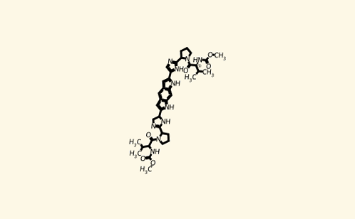 COC(=O)NC(C(=O)N1CCCC1C1=NCC(c2cc3cc4cc(-c5cnc(C6CCCN6C(=O)[C@@H](NC(=O)OC)C(C)C)[nH]5)[nH]c4cc3[nH]2)N1)C(C)C